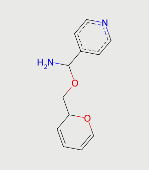 NC(OCC1C=CC=CO1)c1ccncc1